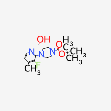 Cc1ccnc(N2CCN(C(=O)OC(C)(C)C)C[C@H]2CO)c1F